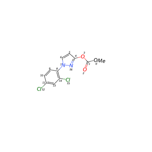 COC(=O)Oc1ccn(-c2ccc(Cl)cc2Cl)n1